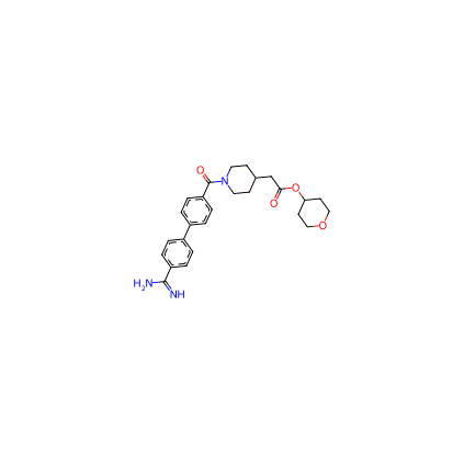 N=C(N)c1ccc(-c2ccc(C(=O)N3CCC(CC(=O)OC4CCOCC4)CC3)cc2)cc1